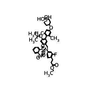 CCOC(=O)CCc1ccc(N(Cc2ccc(OC(C)C)c(-c3c(C)cc(OC4CCS(O)(O)CC4)cc3C)c2)S(=O)(=O)c2ccccc2[N+](=O)[O-])cc1F